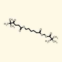 CC(C)(C)C(=O)CCC(=O)OCCCCCC(=O)OCOC(=O)C(C)(C)C